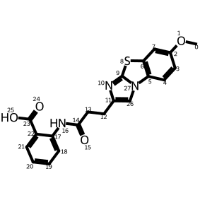 COc1ccc2c(c1)sc1nc(CCC(=O)Nc3ccccc3C(=O)O)cn12